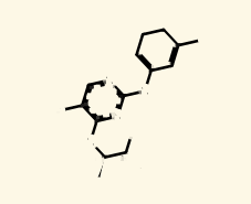 CC1=CC(Nc2ncc(Br)c(N[C@H](C)[C@@H](C)O)n2)=CC[CH]1